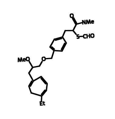 CCC1=CC=CC(CC(COCc2ccc(CC(SC=O)C(=O)NC)cc2)OC)=CC1